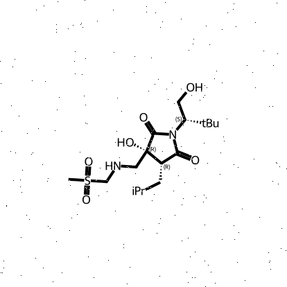 CC(C)C[C@H]1C(=O)N([C@H](CO)C(C)(C)C)C(=O)[C@]1(O)CNCS(C)(=O)=O